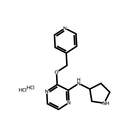 Cl.Cl.c1cc(COc2nccnc2NC2CCNC2)ccn1